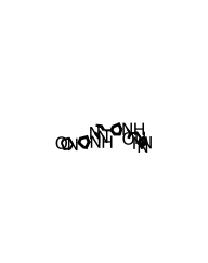 O=C(Cn1cnnn1)Nc1ccc(-c2ccnc(Nc3ccc(N4CCOCC4)cc3)n2)cc1